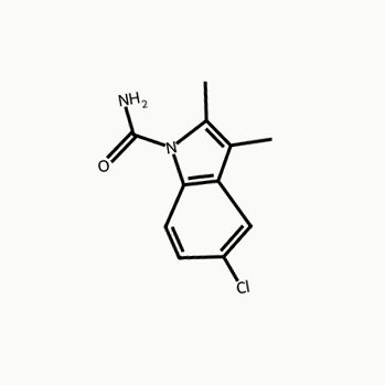 Cc1c(C)n(C(N)=O)c2ccc(Cl)cc12